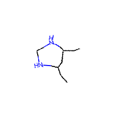 CC1NCNC1C